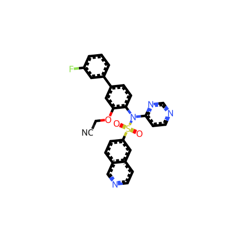 N#CCOc1cc(-c2cccc(F)c2)ccc1N(c1ccncn1)S(=O)(=O)c1ccc2cnccc2c1